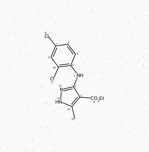 CCOC(=O)c1c(Nc2ccc(Cl)cc2Cl)n[nH]c1C